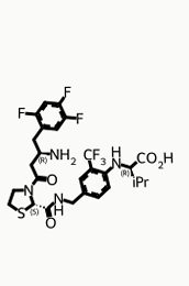 CC(C)[C@@H](Nc1ccc(CNC(=O)[C@@H]2SCCN2C(=O)C[C@H](N)Cc2cc(F)c(F)cc2F)cc1C(F)(F)F)C(=O)O